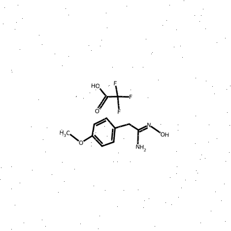 COc1ccc(C/C(N)=N/O)cc1.O=C(O)C(F)(F)F